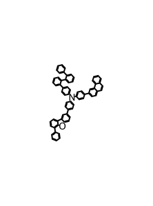 c1ccc(-c2ccccc2-c2ccccc2-c2ccc(N(c3ccc(-c4ccc5ccc6ccccc6c5c4)cc3)c3ccc(-c4ccc5oc6c(-c7ccccc7)cccc6c5c4)cc3)cc2)cc1